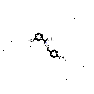 C/C(=N\OCc1ccc(C)cc1)c1cccc(O)c1